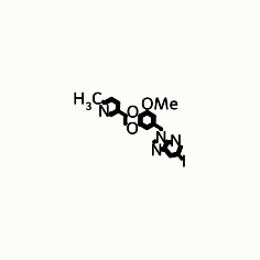 COc1cc(Cn2cnc3cc(I)cnc32)cc2c1OC(c1ccc(C)nc1)CO2